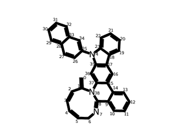 C=C1/C=C\C=C/C/N=C2/c3ccccc3-c3cc4c5ccccc5n(-c5ccc6ccccc6c5)c4cc3N12